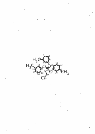 Cc1cccc(O[Si](CCCl)(Oc2cccc(C)c2)Oc2cccc(C)c2)c1